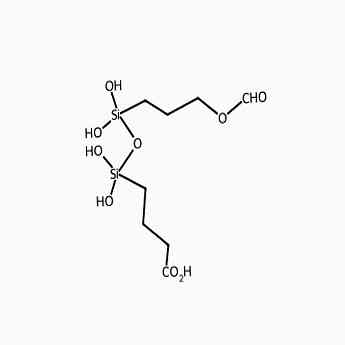 O=COCCC[Si](O)(O)O[Si](O)(O)CCCC(=O)O